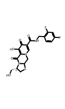 O=C(NCc1ccc(F)cc1F)c1cn2c(c(O)c1=O)C(=O)N1C(C2)SC[C@@H]1CO